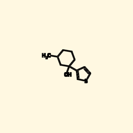 CC1CCCC(O)(c2ccsc2)C1